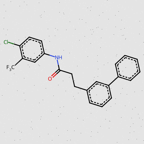 O=C(CCc1cccc(-c2ccccc2)c1)Nc1ccc(Cl)c(C(F)(F)F)c1